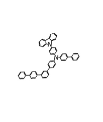 c1ccc(-c2ccc(-c3cccc(-c4ccc(N(c5ccc(-c6ccccc6)cc5)c5ccc(-n6c7ccccc7c7ccccc76)cc5)cc4)c3)cc2)cc1